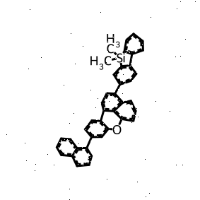 C[Si]1(C)c2ccccc2-c2ccc(-c3ccc4c5c(cccc35)Oc3cc(-c5cccc6ccccc56)ccc3-4)cc21